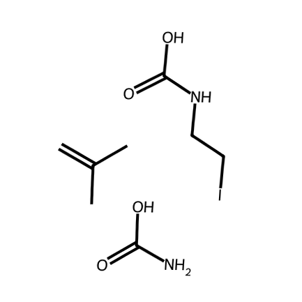 C=C(C)C.NC(=O)O.O=C(O)NCCI